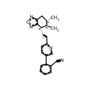 C[C@H]1[C@H](/C=C/c2ccc(-c3ccccc3C#N)cn2)c2nonc2C[C@@H]1C